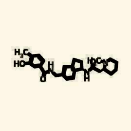 Cc1ccc(C(=O)NCc2ccc3c(c2)CC[C@@H]3NC(=O)C[C@@H]2CCCCN2C)cc1O